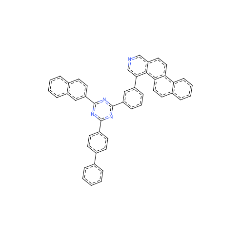 c1ccc(-c2ccc(-c3nc(-c4cccc(-c5cncc6ccc7c8ccccc8ccc7c56)c4)nc(-c4ccc5ccccc5c4)n3)cc2)cc1